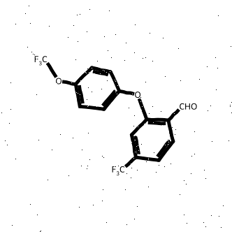 O=Cc1ccc(C(F)(F)F)cc1Oc1ccc(OC(F)(F)F)cc1